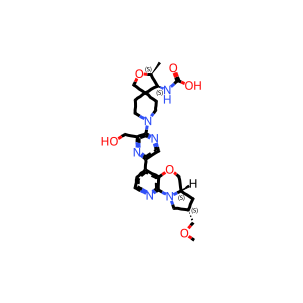 COC[C@H]1C[C@H]2COc3c(-c4cnc(N5CCC6(CC5)CO[C@@H](C)[C@H]6NC(=O)O)c(CO)n4)ccnc3N2C1